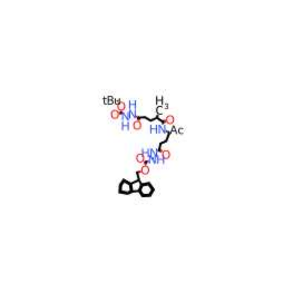 CC(=O)C(CCC(=O)NNC(=O)OCC1c2ccccc2-c2ccccc21)NC(=O)C(C)CCC(=O)NNC(=O)OC(C)(C)C